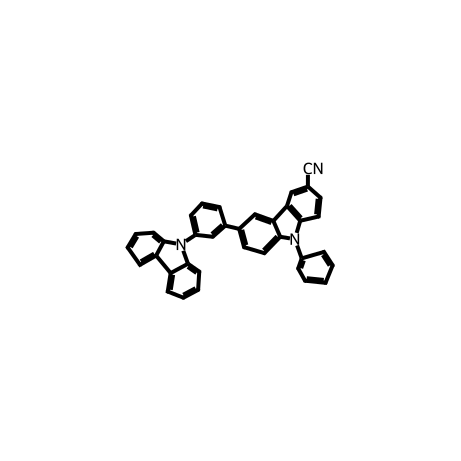 N#Cc1ccc2c(c1)c1cc(-c3cccc(-n4c5ccccc5c5ccccc54)c3)ccc1n2-c1ccccc1